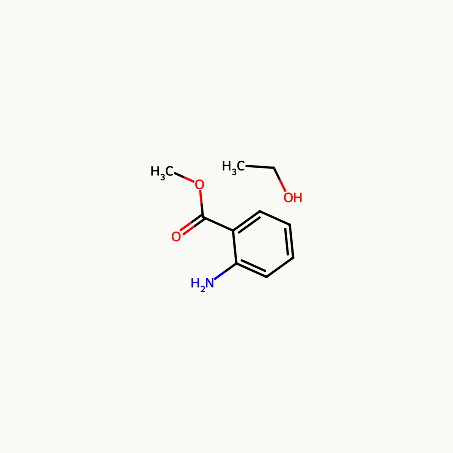 CCO.COC(=O)c1ccccc1N